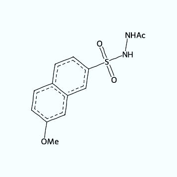 COc1ccc2ccc(S(=O)(=O)NNC(C)=O)cc2c1